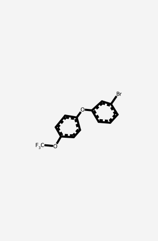 FC(F)(F)Oc1ccc(Oc2cccc(Br)c2)cc1